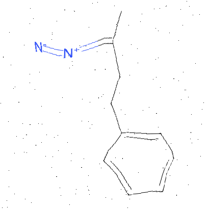 CC(CCc1ccccc1)=[N+]=[N-]